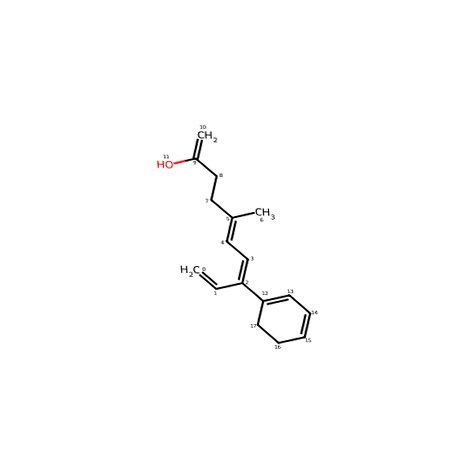 C=C/C(=C\C=C(/C)CCC(=C)O)C1=CC=CCC1